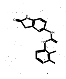 C=C(Nc1ccc2c(c1)CC(=O)N2)Nc1cccc(C)c1C